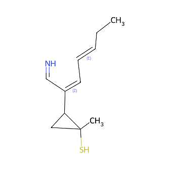 CC/C=C/C=C(\C=N)C1CC1(C)S